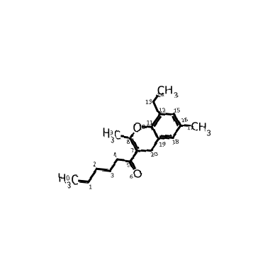 CCCCCC(=O)C1=C(C)Oc2c(CC)cc(C)cc2C1